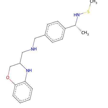 CSN[C@H](C)c1ccc(CNCC2COc3ccccc3N2)cc1